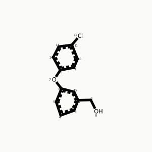 OCc1cccc(Oc2ccc(Cl)cc2)c1